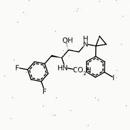 O=C(O)N[C@@H](Cc1cc(F)cc(F)c1)[C@H](O)CNC1(c2cccc(I)c2)CC1